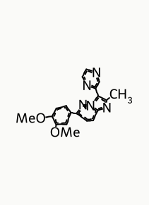 COc1ccc(-c2ccc3nc(C)c(-c4cnccn4)n3n2)cc1OC